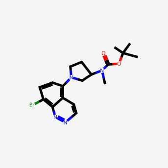 CN(C(=O)OC(C)(C)C)C1CCN(c2ccc(Br)c3nnccc23)C1